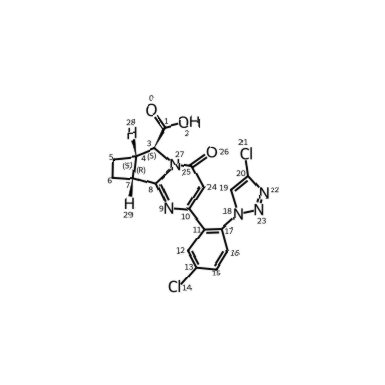 O=C(O)[C@@H]1[C@H]2CC[C@H]2c2nc(-c3cc(Cl)ccc3-n3cc(Cl)nn3)cc(=O)n21